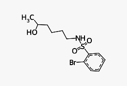 CC(O)CCCCNS(=O)(=O)c1ccccc1Br